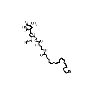 CC/C=C\C/C=C\C/C=C\C/C=C\C/C=C\CCCC(=O)NCCNC(=O)OC[C@H]1OC(n2cc(C)c(=O)[nH]c2=O)C[C@@H]1N=[N+]=[N-]